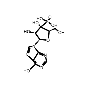 O=P(O)(O)[C@@]1(O)[C@H](O)[C@H](n2cnc3c(O)ncnc32)O[C@@H]1CO